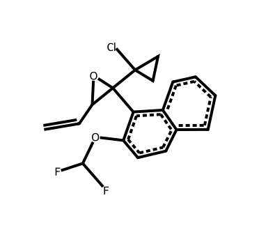 C=CC1OC1(c1c(OC(F)F)ccc2ccccc12)C1(Cl)CC1